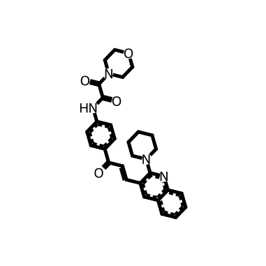 O=C(Nc1ccc(C(=O)C=Cc2cc3ccccc3nc2N2CCCCC2)cc1)C(=O)N1CCOCC1